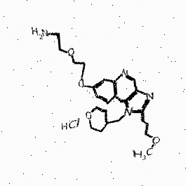 COCCc1nc2cnc3cc(OCCOCCN)ccc3c2n1CC1CCOCC1.Cl